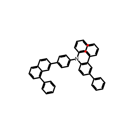 c1ccc(-c2ccc(N(c3ccccc3)c3ccc(-c4ccc5cccc(-c6ccccc6)c5c4)cc3)c(-c3ccccc3)c2)cc1